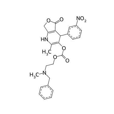 CC1=C(OC(=O)OCCN(C)Cc2ccccc2)C(c2cccc([N+](=O)[O-])c2)C2=C(COC2=O)N1